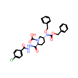 O=C(NNC(=O)[C@@H]1CC[C@@H](N(OCc2ccccc2)C(=O)OCc2ccccc2)CN1C(=O)O)c1ccc(Cl)cc1